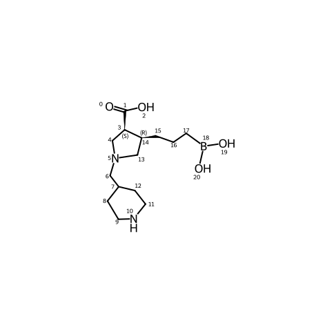 O=C(O)[C@@H]1CN(CC2CCNCC2)C[C@@H]1CCCB(O)O